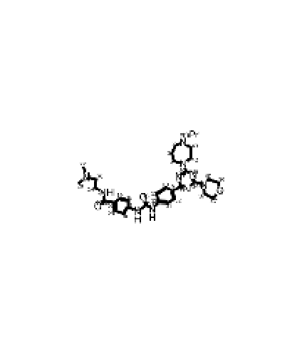 CCCN1CCCN(c2nc(-c3ccc(NC(=O)Nc4ccc(C(=O)NCCN(C)C)cc4)cc3)nc(N3CCOCC3)n2)CC1